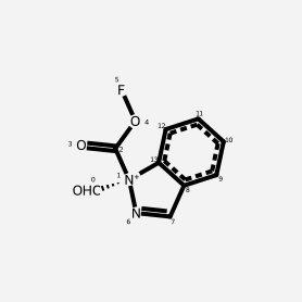 O=C[N@@+]1(C(=O)OF)N=Cc2ccccc21